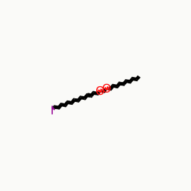 CCCCCCCCCCOCOCCC=CCCCCCCCCCCI